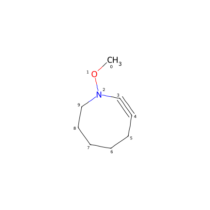 CON1C#CCCCCC1